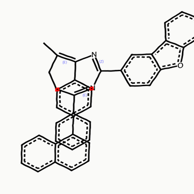 C\C1=C(c2ccc(-c3cccc4ccccc34)cc2)/N=C(c2ccc3oc4ccccc4c3c2)\N=C(\c2ccccc2)CC1